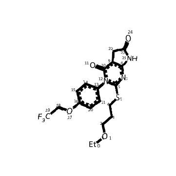 CCOCCCSc1nc2c(c(=O)n1-c1ccc(OCC(F)(F)F)cc1)CC(=O)N2